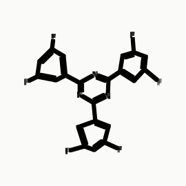 Fc1cc(F)cc(-c2nc(-c3cc(F)cc(F)c3)nc(-c3cc(F)cc(F)c3)n2)c1